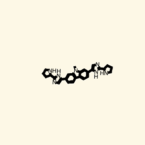 Cn1c2cc(-c3cnc(C4CCCN4)[nH]3)ccc2c2ccc(-c3cnc(C4CCCN4)[nH]3)cc21